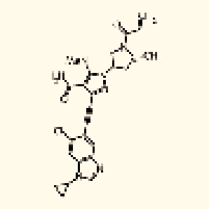 C=CC(=O)N1CC(n2nc(C#Cc3cc4ncn(C5CC5)c4cc3Cl)c(C(N)=O)c2NC)C[C@H]1C